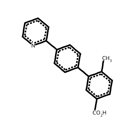 Cc1ccc(C(=O)O)cc1-c1ccc(-c2ccccn2)cc1